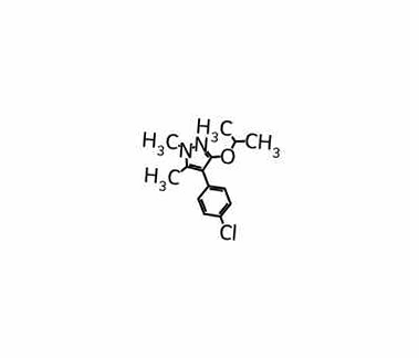 Cc1c(-c2ccc(Cl)cc2)c(OC(C)C)nn1C